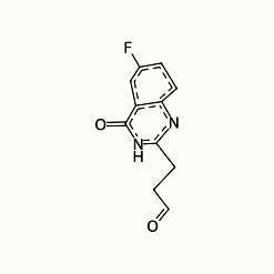 O=CCCc1nc2ccc(F)cc2c(=O)[nH]1